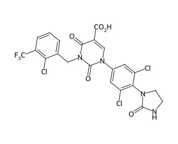 O=C(O)c1cn(-c2cc(Cl)c(N3CCNC3=O)c(Cl)c2)c(=O)n(Cc2cccc(C(F)(F)F)c2Cl)c1=O